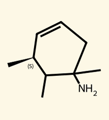 CC1[C@@H](C)C=CCC1(C)N